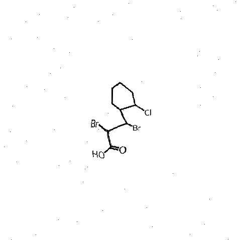 O=C(O)C(Br)C(Br)C1CCCCC1Cl